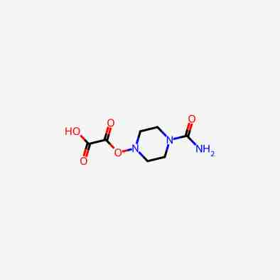 NC(=O)N1CCN(OC(=O)C(=O)O)CC1